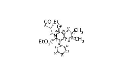 CCOC(=O)CCCn1c(C(=O)OCC)c(-c2ccccc2)c2cc(C)c(C)cc2c1=O